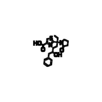 CCC(CCC(O)Cc1ccccc1)(c1nc(C(=O)O)cs1)N1CCCC1=O